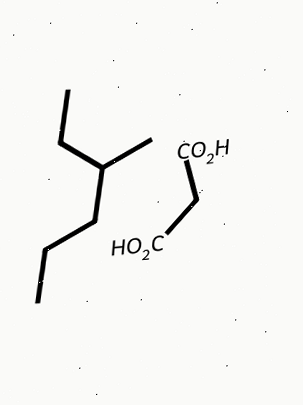 CCCC(C)CC.O=C(O)CC(=O)O